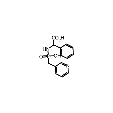 O=C(O)C(NP(=O)(O)Cc1cccnc1)c1ccccc1